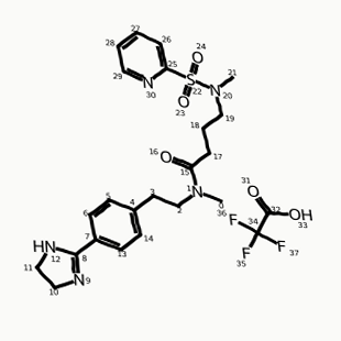 CN(CCc1ccc(C2=NCCN2)cc1)C(=O)CCCN(C)S(=O)(=O)c1ccccn1.O=C(O)C(F)(F)F